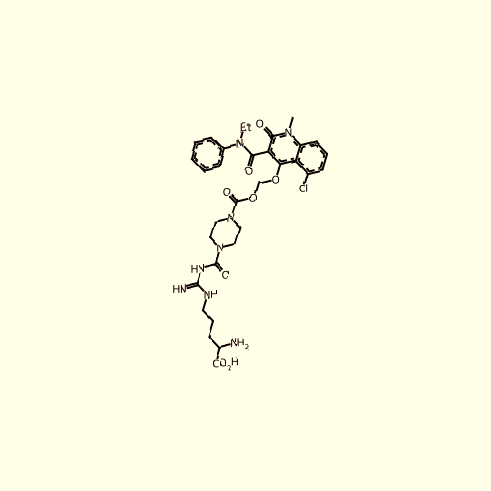 CCN(C(=O)c1c(OCOC(=O)N2CCN(C(=O)NC(=N)NCCCC(N)C(=O)O)CC2)c2c(Cl)cccc2n(C)c1=O)c1ccccc1